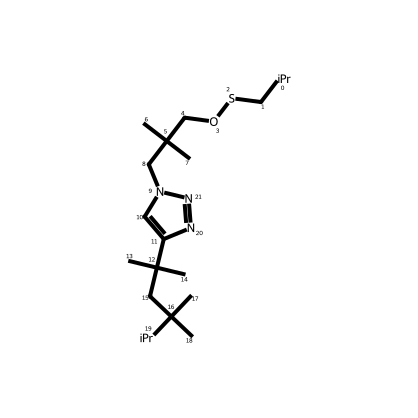 CC(C)CSOCC(C)(C)Cn1cc(C(C)(C)CC(C)(C)C(C)C)nn1